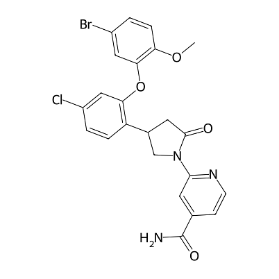 COc1ccc(Br)cc1Oc1cc(Cl)ccc1C1CC(=O)N(c2cc(C(N)=O)ccn2)C1